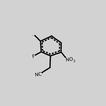 [CH2]c1ccc([N+](=O)[O-])c(CC#N)c1F